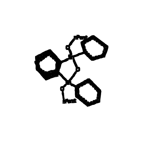 CCCCC[O][Sn]([O][Sn]([O]CCCCC)([c]1ccccc1)[c]1ccccc1)([c]1ccccc1)[c]1ccccc1